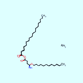 CCCCCCCCCCCCCCCCCC(=O)OC(=O)CCC(=N)OCCCCCCCCCCCC.[AlH3]